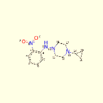 O=[N+]([O-])c1ccccc1NN1CCN(C2CC2)CC1